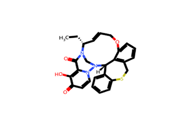 CC[C@@H]1/C=C/COc2cccc3c2[C@H](c2ccccc2SC3)N2CN1C(=O)c1c(O)c(=O)ccn12